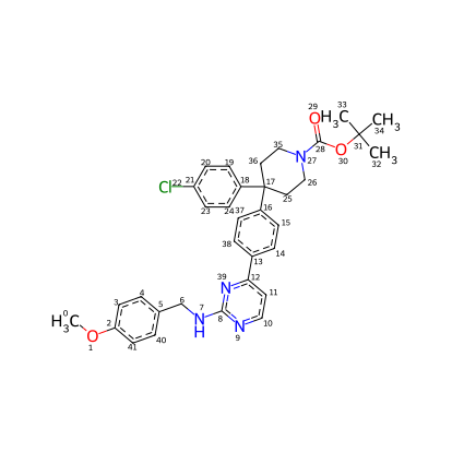 COc1ccc(CNc2nccc(-c3ccc(C4(c5ccc(Cl)cc5)CCN(C(=O)OC(C)(C)C)CC4)cc3)n2)cc1